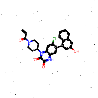 C=CC(=O)N1CCC(n2c(=O)c(=O)[nH]c3cc(-c4cc(O)cc5ccccc45)c(Cl)cc32)CC1